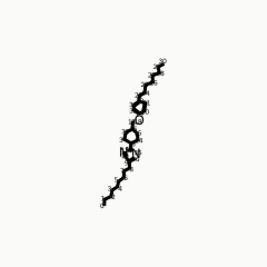 CCCCCCCCCc1cnc(C2CCC(COc3ccc(CCCCCCCC)cc3)CC2)nc1